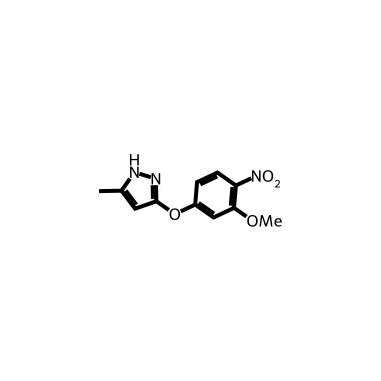 COc1cc(Oc2cc(C)[nH]n2)ccc1[N+](=O)[O-]